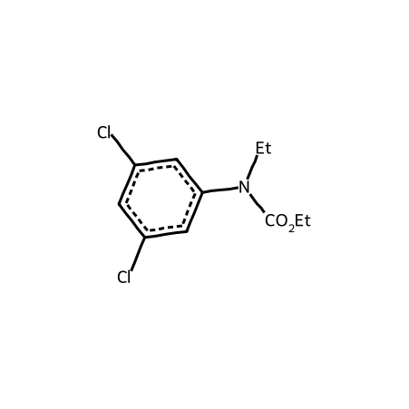 CCOC(=O)N(CC)c1cc(Cl)cc(Cl)c1